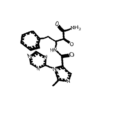 Cc1ncc(C(=O)NC(Cc2ccccc2)C(=O)C(N)=O)n1-c1ncncn1